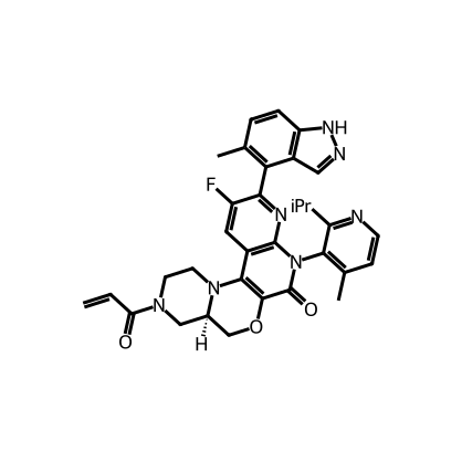 C=CC(=O)N1CCN2c3c(c(=O)n(-c4c(C)ccnc4C(C)C)c4nc(-c5c(C)ccc6[nH]ncc56)c(F)cc34)OC[C@H]2C1